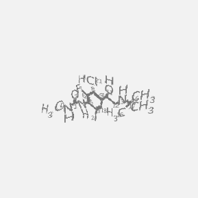 CNC(=O)Nc1c(F)cc(C(O)CNC(C)(C)C)cc1I.Cl